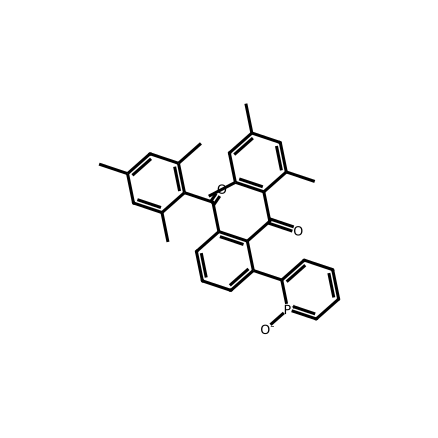 Cc1cc(C)c(C(=O)c2cccc(-c3cccc[p+]3[O-])c2C(=O)c2c(C)cc(C)cc2C)c(C)c1